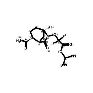 CCCC(CCC)OC(=O)C(F)(F)ON1C(=O)N2C[C@H]1CC[C@H]2C(N)=O